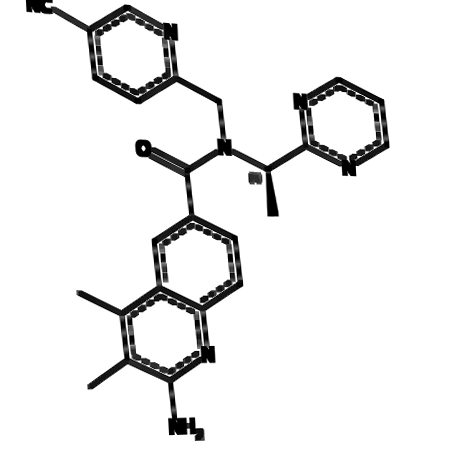 Cc1c(N)nc2ccc(C(=O)N(Cc3ccc(C#N)cn3)[C@H](C)c3ncccn3)cc2c1C